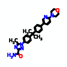 Cc1nc(C(N)=O)nn1-c1ccc(C(C)(C)c2ccc(-c3ccc(N4CCOCC4)nc3)cc2)cc1